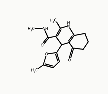 CNC(=O)C1=C(C)NC2=C(C(=O)CCC2)C1c1ccc(C)o1